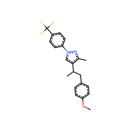 COc1ccc(CC(C)c2cn(-c3ccc(C(F)(F)F)cc3)nc2C)cc1